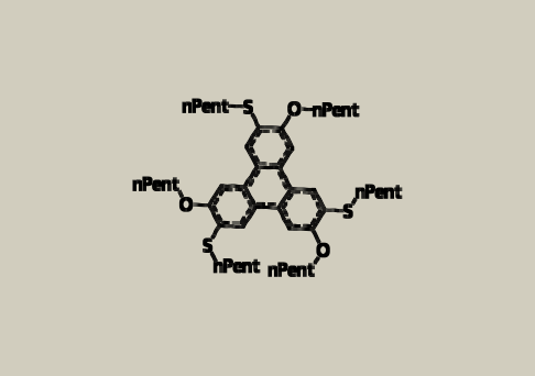 CCCCCOc1cc2c(cc1SCCCCC)c1cc(OCCCCC)c(SCCCCC)cc1c1cc(OCCCCC)c(SCCCCC)cc21